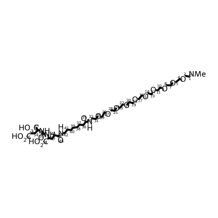 CNCCOCCOCCOCCOCCOCCOCCOCCOCCOCCOCCNC(=O)CCCCCCCNC(=O)CCC(NC(=O)NC(CCC(=O)O)C(=O)O)C(=O)O